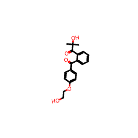 CC(C)(O)C(=O)c1ccccc1C(=O)c1ccc(OCCO)cc1